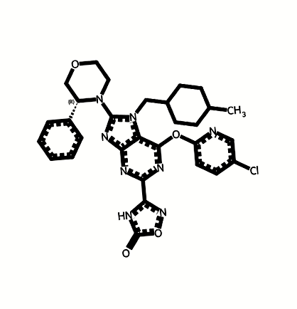 CC1CCC(Cn2c(N3CCOC[C@H]3c3ccccc3)nc3nc(-c4noc(=O)[nH]4)nc(Oc4ccc(Cl)cn4)c32)CC1